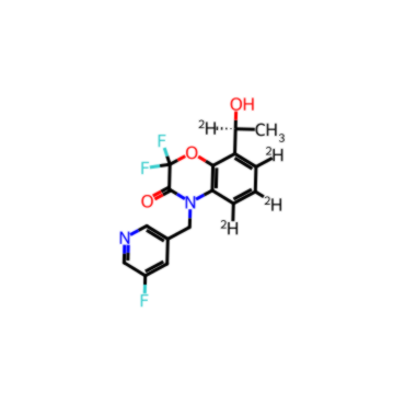 [2H]c1c([2H])c2c(c([C@]([2H])(C)O)c1[2H])OC(F)(F)C(=O)N2Cc1cncc(F)c1